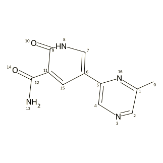 Cc1cncc(-c2c[nH]c(=O)c(C(N)=O)c2)n1